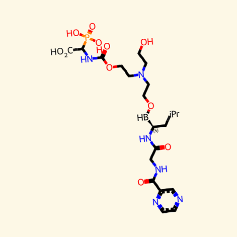 CC(C)C[C@H](BOCCN(CCO)CCOC(=O)NC(C(=O)O)P(=O)(O)O)NC(=O)CNC(=O)c1cnccn1